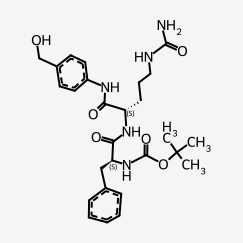 CC(C)(C)OC(=O)N[C@@H](Cc1ccccc1)C(=O)N[C@@H](CCCNC(N)=O)C(=O)Nc1ccc(CO)cc1